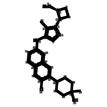 CO[C@H]1CC[C@H]1n1ncc(Nc2ncc3cc(Cl)c(N4CCC(C)(O)CC4)cc3n2)c1C